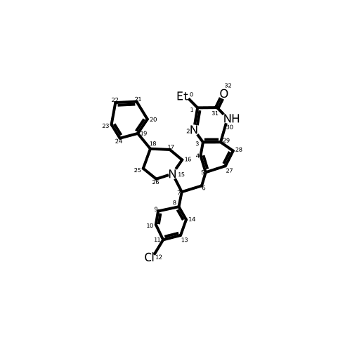 CCc1nc2cc(CC(c3ccc(Cl)cc3)N3CCC(c4ccccc4)CC3)ccc2[nH]c1=O